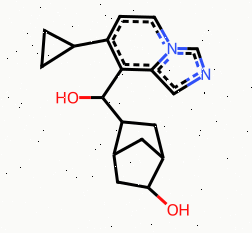 OC1CC2CC1CC2C(O)c1c(C2CC2)ccn2cncc12